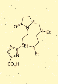 CCN(CC)CCN(CC)C[C@H]1CCC(=O)N1CCSc1nc(C(=O)O)cs1